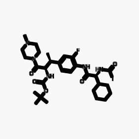 C[C@@H](c1ccc(NC(=O)[C@@H](NC(=O)I)C2CCCCC2)c(F)c1)[C@@H](NC(=O)OC(C)(C)C)C(=O)N1CCN(C)CC1